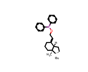 CC[C@H](C)[C@H]1CC[C@H]2/C(=C/COP(c3ccccc3)c3ccccc3)CCC[C@]12C